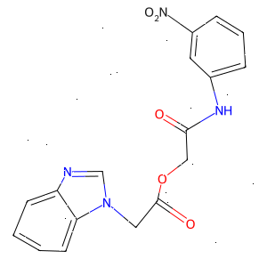 O=C(COC(=O)Cn1cnc2ccccc21)Nc1cccc([N+](=O)[O-])c1